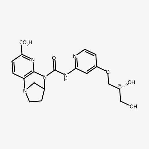 O=C(O)c1ccc2c(n1)N(C(=O)Nc1cc(OC[C@H](O)CO)ccn1)C1CCN2C1